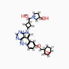 Nc1ncnc2c1c(-c1cccc(OCC34CCC(CC3)O4)c1)cn2C1CC(C(O)N2CCC(O)C2)C1